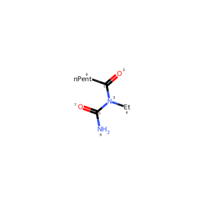 CC[CH]CCC(=O)N(CC)C(N)=O